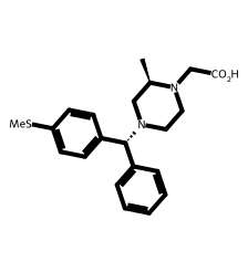 CSc1ccc([C@@H](c2ccccc2)N2CCN(CC(=O)O)[C@H](C)C2)cc1